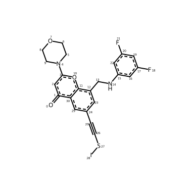 O=c1cc(N2CCOCC2)oc2c(CNc3cc(F)cc(F)c3)cc(C#CSI)cc12